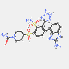 NC(=O)N1CCC(S(=O)(=O)c2ccc(-c3cccc4nc(N)[nH]c34)c(-c3nn[nH]n3)c2S(N)(=O)=O)CC1